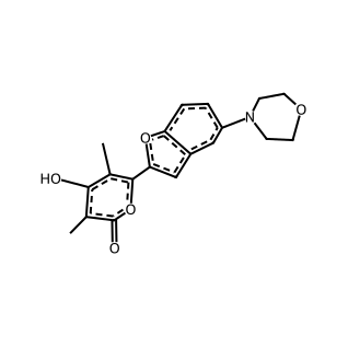 Cc1c(-c2cc3cc(N4CCOCC4)ccc3o2)oc(=O)c(C)c1O